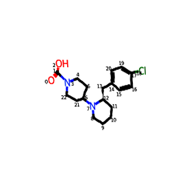 O=C(O)N1CCC(N2CCCC[C@@H]2Cc2ccc(Cl)cc2)CC1